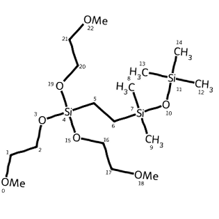 COCCO[Si](CC[Si](C)(C)O[Si](C)(C)C)(OCCOC)OCCOC